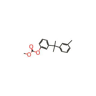 COC(=O)Oc1cccc(C(C)(C)c2cccc(C)c2)c1